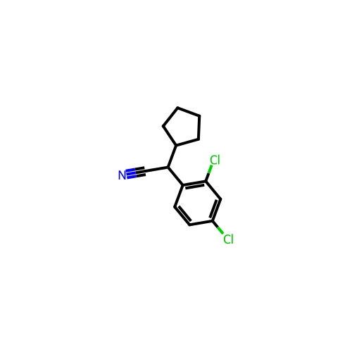 N#CC(c1ccc(Cl)cc1Cl)C1CCCC1